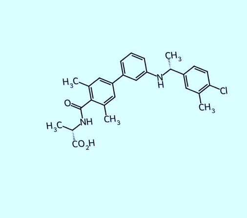 Cc1cc([C@@H](C)Nc2cccc(-c3cc(C)c(C(=O)N[C@@H](C)C(=O)O)c(C)c3)c2)ccc1Cl